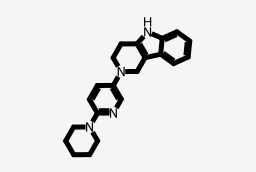 c1ccc2c3c([nH]c2c1)CCN(c1ccc(N2CCCCC2)nc1)C3